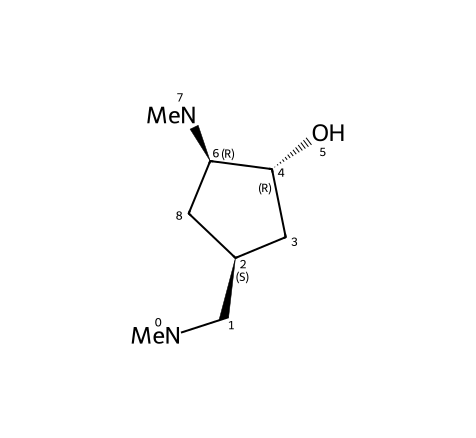 CNC[C@@H]1C[C@@H](O)[C@H](NC)C1